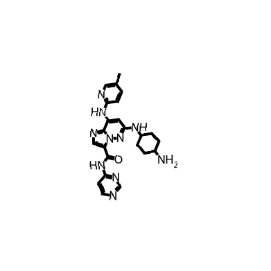 Cc1ccc(Nc2cc(NC3CCC(N)CC3)nn3c(C(=O)Nc4ccncn4)cnc23)nc1